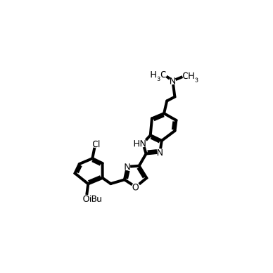 CC(C)COc1ccc(Cl)cc1Cc1nc(-c2nc3ccc(CCN(C)C)cc3[nH]2)co1